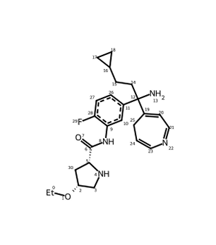 CCO[C@H]1CN[C@@H](C(=O)Nc2cc(C(N)(CCC3CC3)C3=CC=NC=CC3)ccc2F)C1